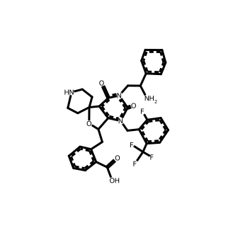 NC(Cn1c(=O)c2c(n(Cc3c(F)cccc3C(F)(F)F)c1=O)C(Cc1ccccc1C(=O)O)OC21CCNCC1)c1ccccc1